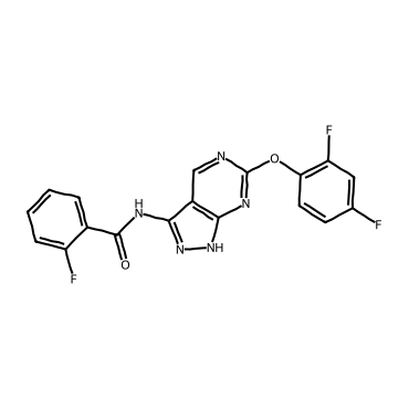 O=C(Nc1n[nH]c2nc(Oc3ccc(F)cc3F)ncc12)c1ccccc1F